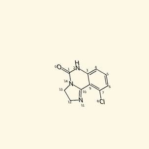 O=C1Nc2cccc(Cl)c2C2=NCCN12